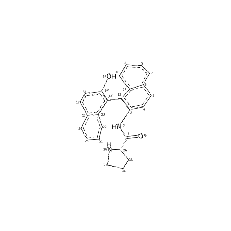 O=C(Nc1ccc2ccccc2c1-c1c(O)ccc2ccccc12)[C@@H]1CCCN1